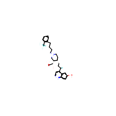 COc1ccc2nccc(C(F)CC[C@@H]3CCN(CCCCc4ccccc4C(F)(F)F)C[C@@H]3CC(=O)O)c2c1